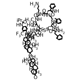 CC(C)C(=O)Nc1ccc([N+](=O)[O-])c(C(F)(F)F)c1.CC(O)[C@@H]1NC(=O)[C@H](CCCCN)NC(=O)[C@@H](Cc2c[nH]c3ccccc23)NC(=O)[C@H](Cc2ccccc2)NC(=O)[C@@H](NC(=O)[C@H](N)Cc2ccccc2)CSSC[C@@H](C(=O)N[C@H](CO)[C@@H](C)O)NC1=O.C[C@]1(O)CC[C@H]2[C@@H]3CCC4=CC(=O)CC[C@]4(C)[C@@]3(F)[C@@H](O)C[C@@]21C.C[C@]12CCC(=O)C=C1CC[C@@H]1[C@@H]2CC[C@@]2(C)[C@H]1CC[C@]2(C)O